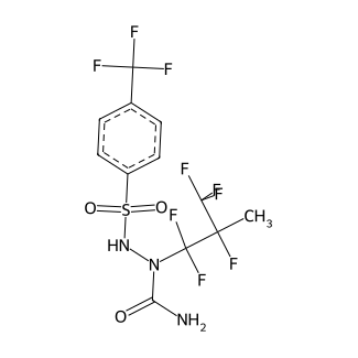 CC(F)(C(F)(F)F)C(F)(F)N(NS(=O)(=O)c1ccc(C(F)(F)F)cc1)C(N)=O